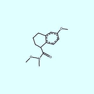 COc1ccc2c(c1)CCCC2C(=O)N(C)OC